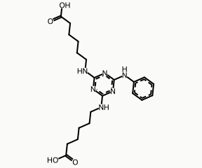 O=C(O)CCCCCNc1nc(NCCCCCC(=O)O)nc(Nc2ccccc2)n1